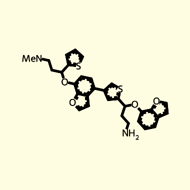 CNCCC(Oc1ccc(-c2csc(C(CCN)Oc3cccc4ccoc34)c2)c2ccoc12)c1cccs1